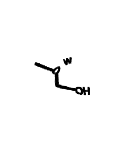 COCO.[W]